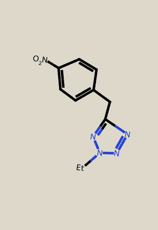 CCn1nnc(Cc2ccc([N+](=O)[O-])cc2)n1